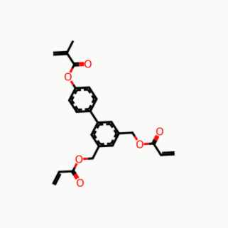 C=CC(=O)OCc1cc(COC(=O)C=C)cc(-c2ccc(OC(=O)C(=C)C)cc2)c1